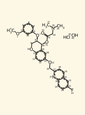 COc1cccc(O[C@@H]2COc3ccc(OCc4ccc5cc(F)ccc5n4)cc3[C@@H]2OC(=O)CN(C)C)c1.Cl.Cl